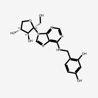 OC[C@@]1(n2cnc3c(NCc4ccc(O)cc4O)ncnc32)OC[C@@H](O)[C@@H]1O